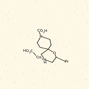 CC(=O)O.CC(C)C1CNCC2(CCN(C(=O)O)CC2)O1